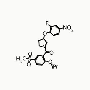 CC(C)Oc1ccc(S(C)(=O)=O)cc1C(=O)N1CCC(Oc2ccc([N+](=O)[O-])cc2F)C1